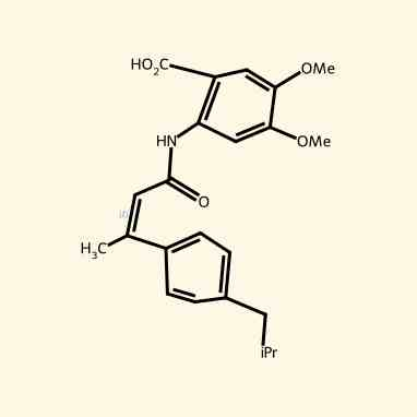 COc1cc(NC(=O)/C=C(/C)c2ccc(CC(C)C)cc2)c(C(=O)O)cc1OC